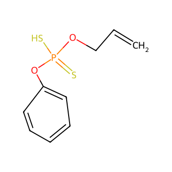 C=CCOP(=S)(S)Oc1ccccc1